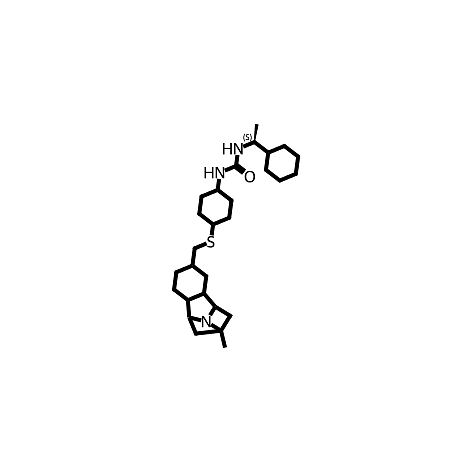 C[C@H](NC(=O)NC1CCC(SCC2CCC3C(C2)C2CC4(C)CC3N24)CC1)C1CCCCC1